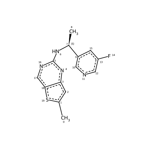 Cc1cc2nc(N[C@@H](C)c3cncc(F)c3)n[c]c2s1